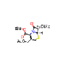 CO[C@H]1C(=O)N2C(C(=O)OC(C)(C)C)=C(COC(C)=O)CS[C@H]12